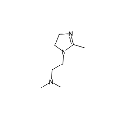 CC1=NCCN1CCN(C)C